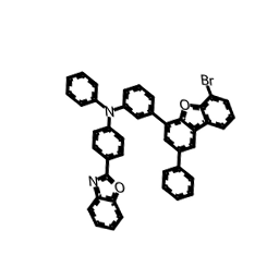 Brc1cccc2c1oc1c(-c3cccc(N(c4ccccc4)c4ccc(-c5nc6ccccc6o5)cc4)c3)cc(-c3ccccc3)cc12